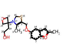 CC1=C(COc2ccc3oc(C)cc3c2)SCN1C1(CCO)COC1